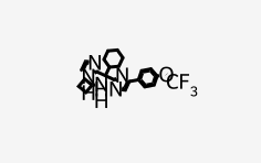 FC(F)(F)Oc1ccc(-c2c[nH]c([C@@](NC3CCC3)(c3ncc[nH]3)C3CCCCC3)n2)cc1